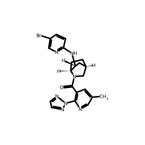 Cc1cnc(-n2nccn2)c(C(=O)N2C[C@@H]3CC[C@H]2[C@H](Nc2ccc(Br)cn2)C3)c1